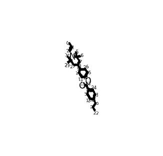 C/C=C/N1C(C)(C)CC(c2ccc(OC(=O)c3ccc(CCC)cc3)cc2)CC1(C)C